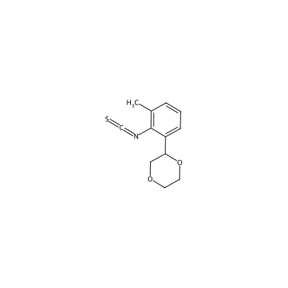 Cc1cccc(C2COCCO2)c1N=C=S